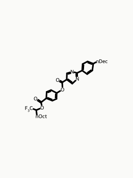 CCCCCCCCCCc1ccc(-c2ncc(C(=O)Oc3ccc(C(=O)OC(CCCCCCCC)C(F)(F)F)cc3)cn2)cc1